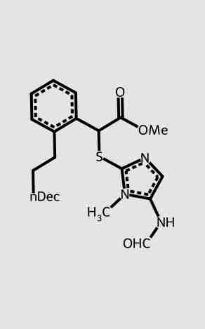 CCCCCCCCCCCCc1ccccc1C(Sc1ncc(NC=O)n1C)C(=O)OC